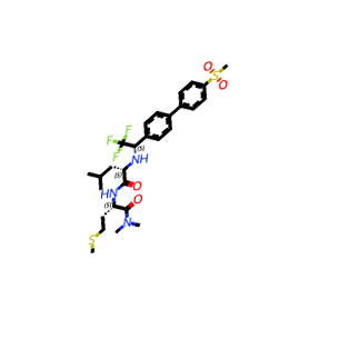 CSCC[C@H](NC(=O)[C@H](CC(C)C)N[C@@H](c1ccc(-c2ccc(S(C)(=O)=O)cc2)cc1)C(F)(F)F)C(=O)N(C)C